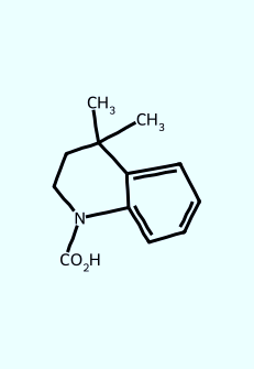 CC1(C)CCN(C(=O)O)c2ccccc21